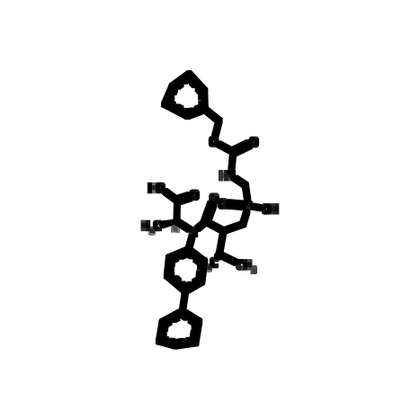 CC(C)C(CP(=O)(O)CNC(=O)OCc1ccccc1)C(=O)N(c1ccc(-c2ccccc2)cc1)[C@@H](C)C(=O)O